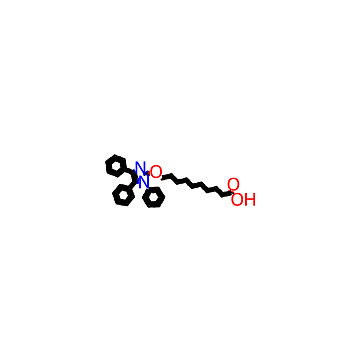 O=C(O)CCCCCCCCCOc1nc(-c2ccccc2)c(-c2ccccc2)n1-c1ccccc1